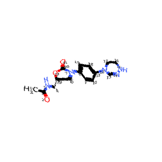 CC(=O)NC[C@H]1CN(c2ccc(N3C=NNCC3)cc2)C(=O)O1